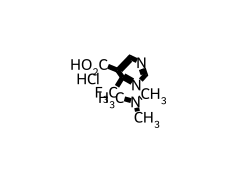 CN(C)C.Cl.O=C(O)c1cncnc1C(F)(F)F